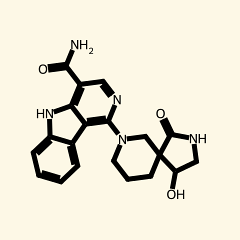 NC(=O)c1cnc(N2CCCC3(C2)C(=O)NCC3O)c2c1[nH]c1ccccc12